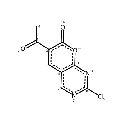 CC(=O)c1cc2cnc(Cl)nc2oc1=O